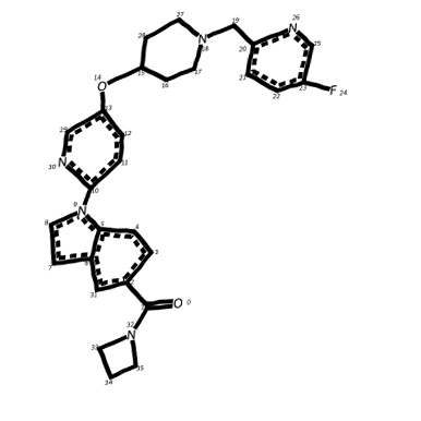 O=C(c1ccc2c(ccn2-c2ccc(OC3CCN(Cc4ccc(F)cn4)CC3)cn2)c1)N1CCC1